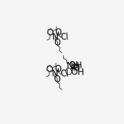 CCCCNC1(P(=O)(O)O)CCCCC1.CCCCOCN(C(=O)CCl)c1c(CC)cccc1CC.CCCCOCN(C(=O)CCl)c1c(CC)cccc1CC